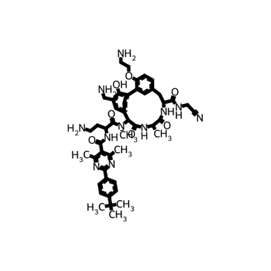 Cc1nc(-c2ccc(C(C)(C)C)cc2)nc(C)c1C(=O)NC(CCN)C(=O)N(C)C1C(=O)NC(C)C(=O)NC(C(=O)NCC#N)Cc2ccc(OCCN)c(c2)-c2cc1cc(CN)c2O